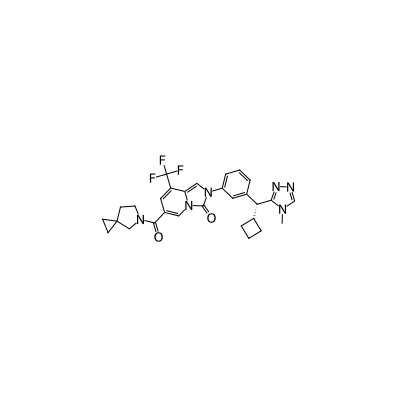 Cn1cnnc1[C@@H](c1cccc(-n2cc3c(C(F)(F)F)cc(C(=O)N4CCC5(CC5)C4)cn3c2=O)c1)C1CCC1